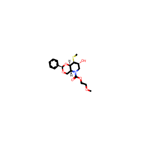 COCCOC(=O)N1C[C@@H](O)[C@H](SC)[C@@H]2O[C@H](c3ccccc3)OC[C@H]21